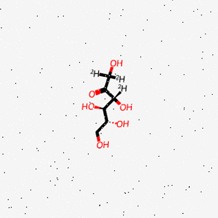 [2H]C([2H])(O)C(=O)[C@]([2H])(O)[C@H](O)[C@H](O)CO